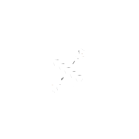 CC(C)[Si](C#Cc1c2cc3ccccc3cc2c(C#C[Si](c2cccs2)(C(C)C)C(C)C)c2cc3ccccc3cc12)(c1cccs1)C(C)C